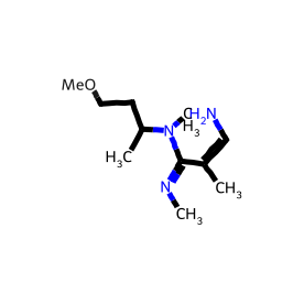 C/N=C(\C(C)=C/N)N(C)C(C)CCOC